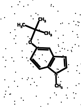 Cn1ccc2cc(OC(C)(C)C)ccc21